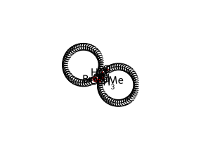 COC(=O)N(C(C)c1ccc(Br)cc1)C(CC1(O)CCCCCCCCCCCCCCCCCCCCCCCCCCCCCCCCCCCCCCCCCCCCCCCCCC2(C1)OCCO2)C1(O)CCCCCCCCCCCCCCCCCCCCCCCCCCCCCCCCCCCCCCCCCCCCCCCCCC2(C1)OCCO2